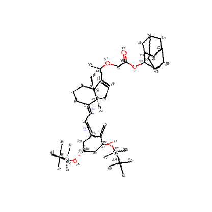 C=C1/C(=C\C=C2/CCC[C@]3(C)C(C(C)OCC(=O)OC4C5CC6CC(C5)CC4C6)=CC[C@@H]23)C[C@@H](O[Si](C)(C)C(C)(C)C)C[C@@H]1O[Si](C)(C)C(C)(C)C